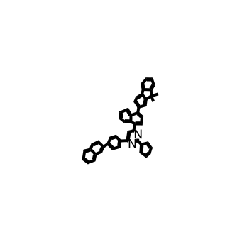 CC1(C)c2ccccc2-c2ccc(-c3ccc(-c4cc(-c5ccc(-c6ccc7ccccc7c6)cc5)nc(-c5ccccc5)n4)c4ccccc34)cc21